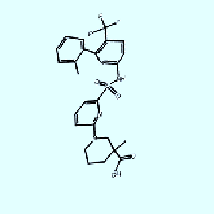 Cc1ccccc1-c1nc(NS(=O)(=O)c2cccc(N3CCCC(C)(C(=O)O)C3)n2)ccc1C(F)(F)F